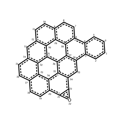 c1ccc2c(c1)c1ccc3ccc4cc5ccc6ccc7c8oc8c8cc2c2c1c3c4c1c5c6c7c8c21